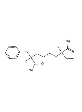 CCC(C)(CCCCC(C)(Cc1ccccc1)C(=O)O)C(=O)O